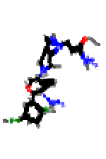 NC(=O)CCn1ncc2c1CN([C@H]1CO[C@H](c3cc(F)ccc3F)[C@@H](N)C1)C2